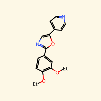 CCOc1ccc(-c2ncc(-c3ccncc3)o2)cc1OCC